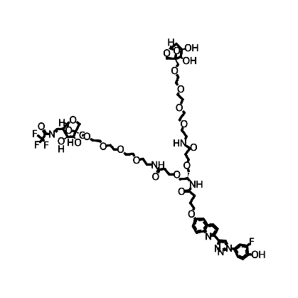 O=C(CCOC[C@@H](COCCC(=O)NCCOCCOCCOCCOC[C@@]12CO[C@@H](O1)C(/C=N/C(=O)C(F)(F)F)[C@@H](O)[C@H]2O)NC(=O)CCCOc1ccc2nc(-c3cn(-c4ccc(O)c(F)c4)nn3)ccc2c1)NCCOCCOCCOCCOC[C@]12CO[C@@H](C[C@@H](O)[C@H]1O)O2